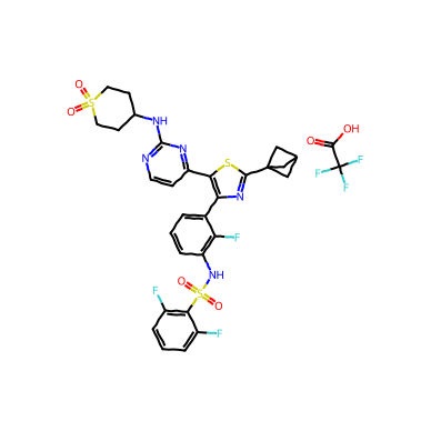 O=C(O)C(F)(F)F.O=S1(=O)CCC(Nc2nccc(-c3sc(C45CC(C4)C5)nc3-c3cccc(NS(=O)(=O)c4c(F)cccc4F)c3F)n2)CC1